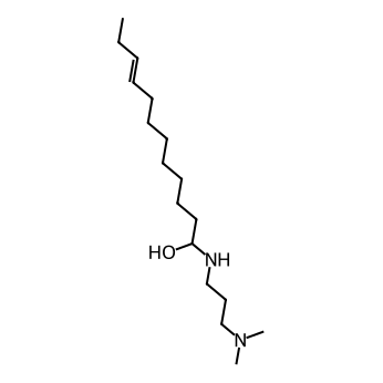 CC/C=C/CCCCCCCC(O)NCCCN(C)C